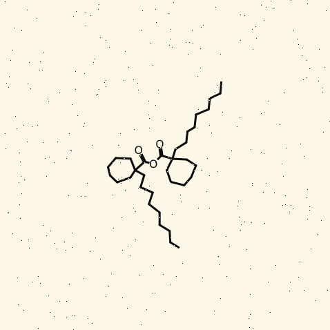 CCCCCCCCCC1(C(=O)OC(=O)C2(CCCCCCCCC)CCCCCC2)CCCCCC1